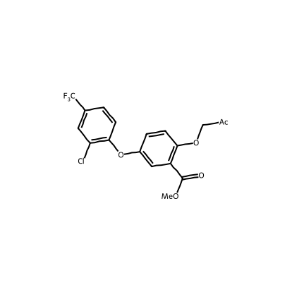 COC(=O)c1cc(Oc2ccc(C(F)(F)F)cc2Cl)ccc1OCC(C)=O